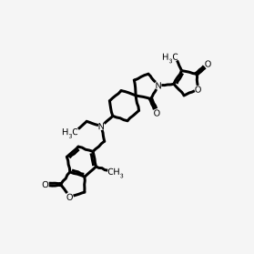 CCN(Cc1ccc2c(c1C)COC2=O)C1CCC2(CC1)CCN(C1=C(C)C(=O)OC1)C2=O